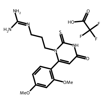 COc1ccc(-c2cc(=O)[nH]c(=S)n2CCCN=C(N)N)c(OC)c1.O=C(O)C(F)(F)F